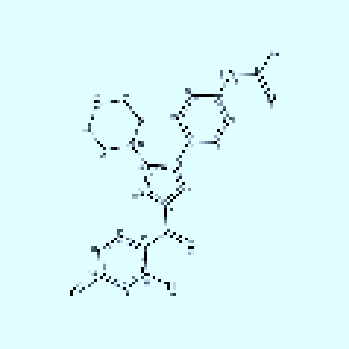 CC(=O)Nc1ccc(-c2cc(C(=O)c3ccc(Cl)cc3Cl)sc2N2CCOCC2)cc1